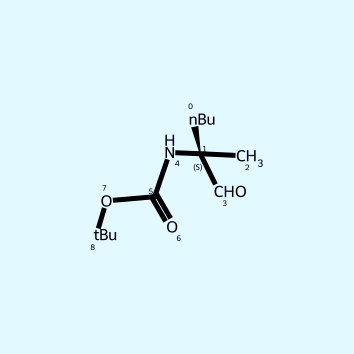 CCCC[C@@](C)(C=O)NC(=O)OC(C)(C)C